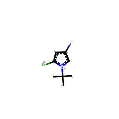 CC(C)(C)n1cc(I)cc1Br